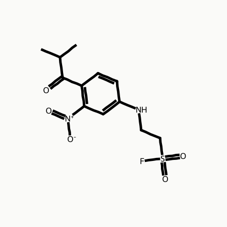 CC(C)C(=O)c1ccc(NCCS(=O)(=O)F)cc1[N+](=O)[O-]